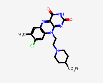 CCOC(=O)C1CCN(CCn2c3nc(=O)[nH]c(=O)c-3nc3cc(C)c(Cl)cc32)CC1